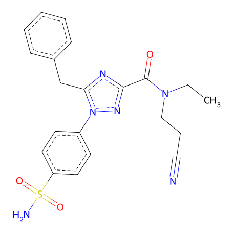 CCN(CCC#N)C(=O)c1nc(Cc2ccccc2)n(-c2ccc(S(N)(=O)=O)cc2)n1